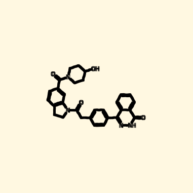 O=C(c1ccc2c(c1)N(C(=O)Cc1ccc(-c3n[nH]c(=O)c4ccccc34)cc1)CC2)N1CCC(O)CC1